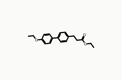 CCOC(=O)CCc1ccc(-c2ccc(OCC)cc2)cc1